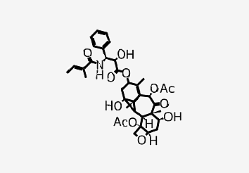 C/C=C(\C)C(=O)N[C@@H](c1ccccc1)[C@@H](O)C(=O)OC1C[C@@]2(O)C3[C@@H]4[C@]5(OC(C)=O)CO[C@@H]5C[C@H](O)[C@@]4(C)C(=O)[C@H](OC(C)=O)C(=C1C)[C@]32C